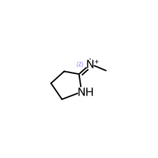 C/[N+]=C1/CCCN1